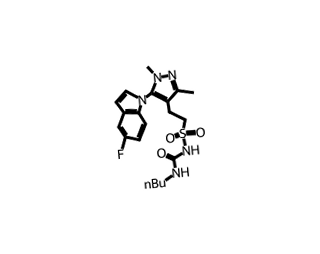 CCCCNC(=O)NS(=O)(=O)CCc1c(C)nn(C)c1-n1ccc2cc(F)ccc21